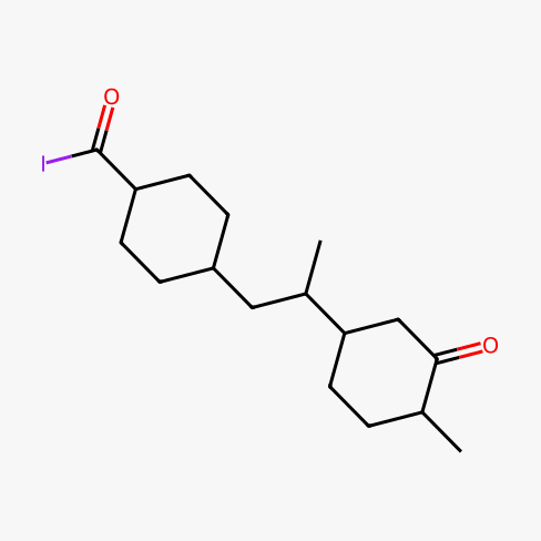 CC1CCC(C(C)CC2CCC(C(=O)I)CC2)CC1=O